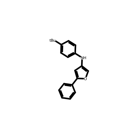 CC(C)(C)c1ccc(Nc2coc(-c3ccccc3)c2)cc1